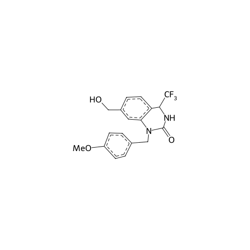 COc1ccc(CN2C(=O)NC(C(F)(F)F)c3ccc(CO)cc32)cc1